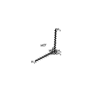 CCCCCCCCCCCCCCCCCC(=O)OC(C)(OC(=O)CCCCCCCCCCCCCCCCC)N(C)C(C)O.Cl